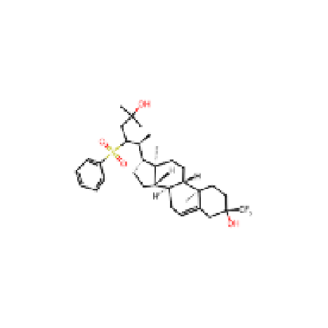 C[C@H](C(CC(C)(C)O)S(=O)(=O)c1ccccc1)[C@H]1CC[C@H]2[C@@H]3CC=C4C[C@](O)(C(F)(F)F)CC[C@]4(C)[C@H]3CC[C@]12C